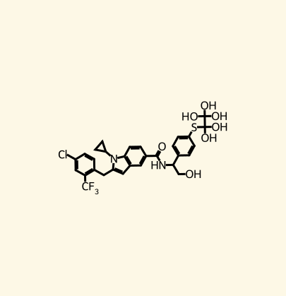 O=C(NC(CO)c1ccc(SC(O)(O)C(O)(O)O)cc1)c1ccc2c(c1)cc(Cc1ccc(Cl)cc1C(F)(F)F)n2C1CC1